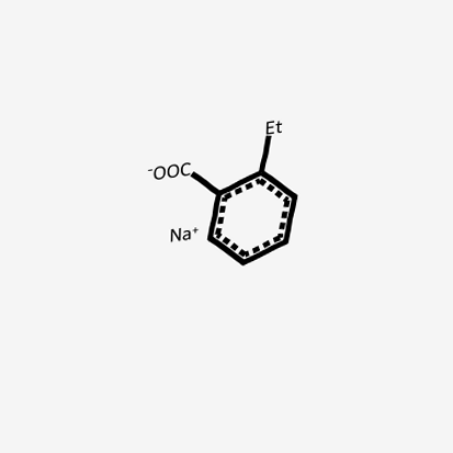 CCc1ccccc1C(=O)[O-].[Na+]